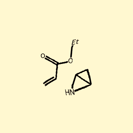 C1C2NC12.C=CC(=O)OCC